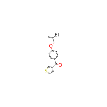 C=C(CC)COc1ccc(C(=O)c2ccsc2)cc1